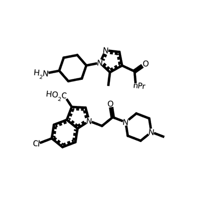 CCCC(=O)c1cnn(C2CCC(N)CC2)c1C.CN1CCN(C(=O)Cn2cc(C(=O)O)c3cc(Cl)ccc32)CC1